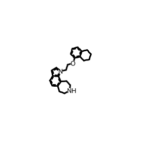 c1cc2c(c(OCCn3ccc4ccc5c(c43)CCNCC5)c1)CCCC2